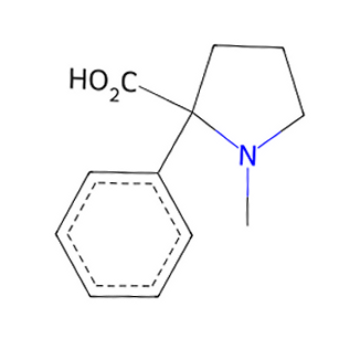 CN1CCCC1(C(=O)O)c1ccccc1